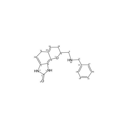 O=c1[nH]c2c([nH]1)=C1OC(CNCc3ccccc3)CC=C1CC=2